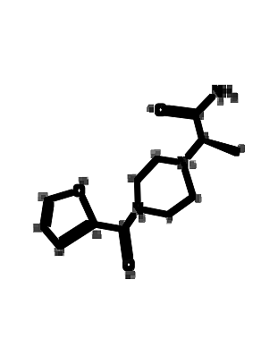 C[C@H](C(N)=O)N1CCN(C(=O)c2ccco2)CC1